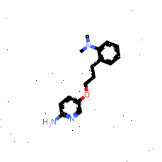 CN(C)c1ccccc1CCCOc1ccc(N)nc1